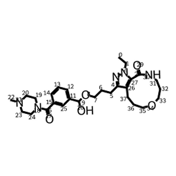 CCn1nc(CCCOC(O)c2cccc(C(=O)N3CCN(C)CC3)c2)c2c1C(=O)NCCCOCCC2